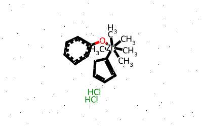 Cl.Cl.[CH3][Zr]([CH3])([CH3])([CH3])([CH3])([O]c1ccccc1)[C]1=CC=CC1